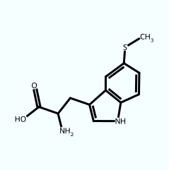 CSc1ccc2[nH]cc(CC(N)C(=O)O)c2c1